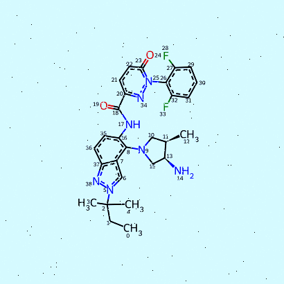 CCC(C)(C)n1cc2c(N3C[C@@H](C)[C@@H](N)C3)c(NC(=O)c3ccc(=O)n(-c4c(F)cccc4F)n3)ccc2n1